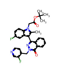 Cc1c(-c2nn(Cc3ccncc3F)c(=O)c3ccccc23)c2cc(F)ccc2n1CC(=O)OC(C)(C)C